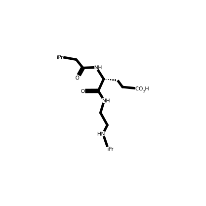 CC(C)CC(=O)N[C@H](CCC(=O)O)C(=O)NCCNC(C)C